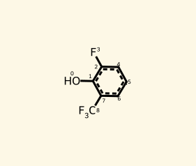 Oc1c(F)c[c]cc1C(F)(F)F